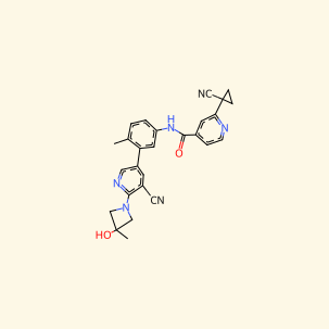 Cc1ccc(NC(=O)c2ccnc(C3(C#N)CC3)c2)cc1-c1cnc(N2CC(C)(O)C2)c(C#N)c1